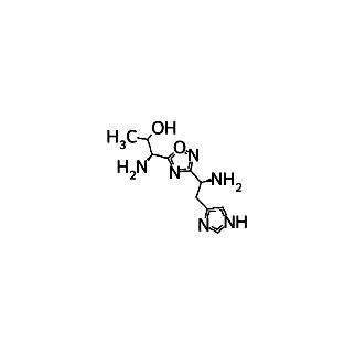 CC(O)[C@H](N)c1nc([C@@H](N)Cc2c[nH]cn2)no1